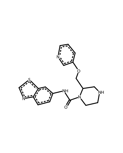 O=C(Nc1ccc2ncsc2c1)N1CCNCC1COc1cccnc1